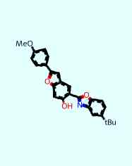 COc1ccc(-c2cc3cc(-c4nc5cc(C(C)(C)C)ccc5o4)c(O)cc3o2)cc1